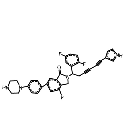 O=C1c2cc(-c3ccc(N4CCNCC4)cc3)cc(F)c2CN1C(CC#CC#Cc1cc[nH]c1)c1cc(F)ccc1F